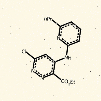 CCCc1cccc(Nc2cc(Cl)nnc2C(=O)OCC)n1